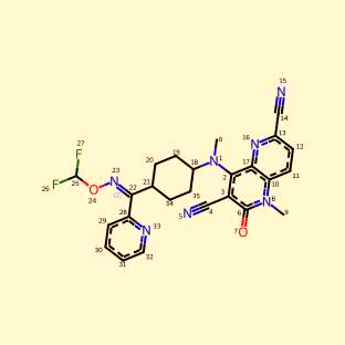 CN(c1c(C#N)c(=O)n(C)c2ccc(C#N)nc12)C1CCC(/C(=N/OC(F)F)c2ccccn2)CC1